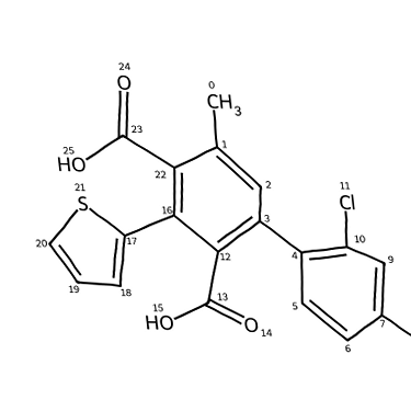 Cc1cc(-c2ccc(F)cc2Cl)c(C(=O)O)c(-c2cccs2)c1C(=O)O